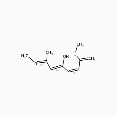 C=C(\C=C/C(O)=C/C(C)=N/C)OC